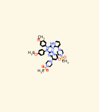 COc1ccc(N(c2nc3c(N4CCN(S(C)(=O)=O)CC4)cccn3n2)N(c2ccc(OC)cc2)c2nc3c(N4CCN(S(C)(=O)=O)CC4)cccn3n2)cc1